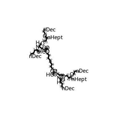 CCCCCCCCCCCCCC(=O)NC(COCC[C@@H](CCCCCCC)OCCCCCCCCCCCC)COP(=O)(O)OCCCCCCCCOP(=O)(O)OCC(COCC[C@@H](CCCCCCC)OCCCCCCCCCCCC)NC(=O)CCCCCCCCCCCCC